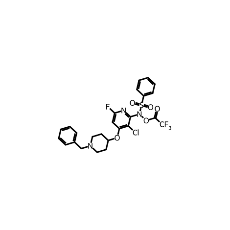 O=C(ON(c1nc(F)cc(OC2CCN(Cc3ccccc3)CC2)c1Cl)S(=O)(=O)c1ccccc1)C(F)(F)F